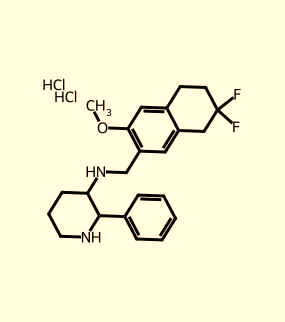 COc1cc2c(cc1CNC1CCCNC1c1ccccc1)CC(F)(F)CC2.Cl.Cl